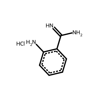 Cl.N=C(N)c1ccccc1N